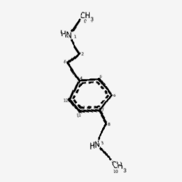 CNCCc1ccc(CNC)cc1